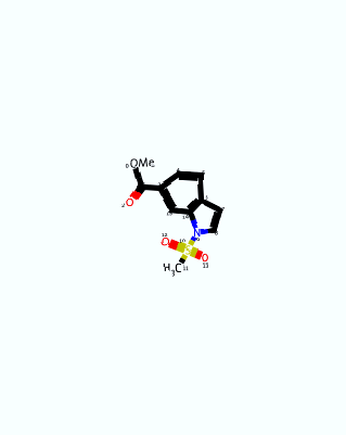 COC(=O)c1ccc2ccn(S(C)(=O)=O)c2c1